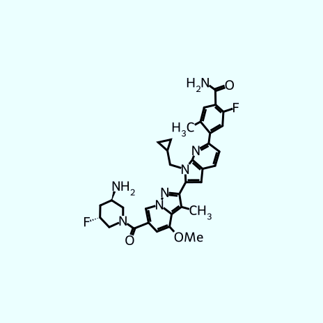 COc1cc(C(=O)N2C[C@H](N)C[C@@H](F)C2)cn2nc(-c3cc4ccc(-c5cc(F)c(C(N)=O)cc5C)nc4n3CC3CC3)c(C)c12